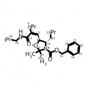 CCC/C(=C/[C@@H]1OC(C)(C)N(C(=O)OCc2ccccc2)[C@H]1CC(C)C)C(=O)NCC(C)C